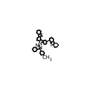 Cc1ccc(-c2nc(-n3c4ccc(-c5cccc6c7c(sc56)C=CCC7)cc4c4c5sc6ccccc6c5ccc43)nc3ccccc23)cc1